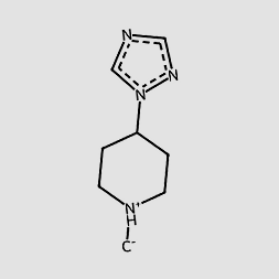 [CH2-][NH+]1CCC(n2cncn2)CC1